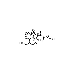 CC(C)(C)OC(=O)N[C@@H]1C(=O)N2C(OC(=O)O)=C(CO)CS[C@H]12